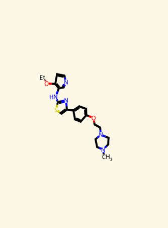 CCOc1ccncc1Nc1nc(-c2ccc(OCCN3CCN(C)CC3)cc2)cs1